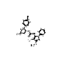 CCOc1nn(-c2ccccc2)c(NC(=O)N[C@@H]2CN(CC)O[C@H]2c2ccc(F)cc2)c1C